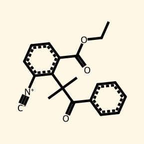 [C-]#[N+]c1cccc(C(=O)OCC)c1C(C)(C)C(=O)c1ccccc1